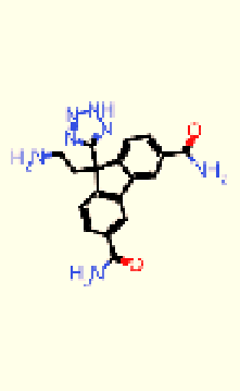 NCCC1(c2nn[nH]n2)c2ccc(C(N)=O)cc2-c2cc(C(N)=O)ccc21